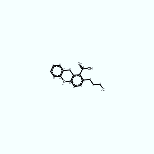 O=C(O)c1c(CCCCl)ccc2c1Cc1ccccc1O2